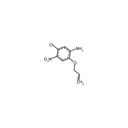 C=CCOc1cc([N+](=O)[O-])c(Cl)cc1N